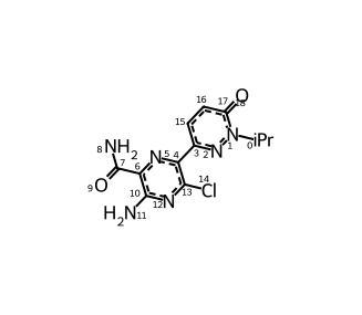 CC(C)n1nc(-c2nc(C(N)=O)c(N)nc2Cl)ccc1=O